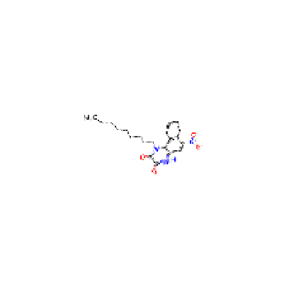 CCCCCCCCCn1c(=O)c(=O)[nH]c2cc([N+](=O)[O-])c3ccccc3c21